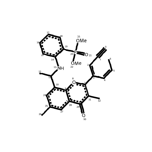 C#C/C=C(\C=C/C)c1oc2c(C(C)Nc3ccccc3P(=O)(OC)OC)cc(C)cc2c(=O)c1C